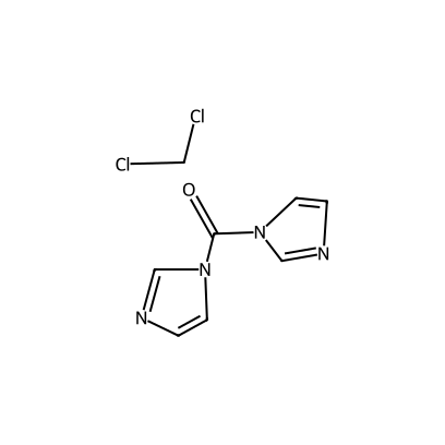 ClCCl.O=C(n1ccnc1)n1ccnc1